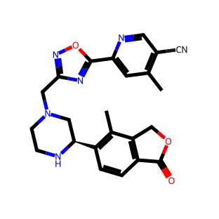 Cc1cc(-c2nc(CN3CCN[C@H](c4ccc5c(c4C)COC5=O)C3)no2)ncc1C#N